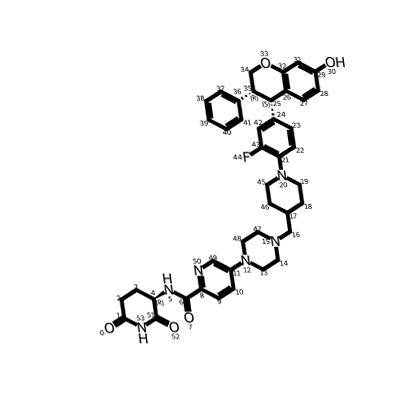 O=C1CC[C@@H](NC(=O)c2ccc(N3CCN(CC4CCN(c5ccc([C@H]6c7ccc(O)cc7OC[C@H]6c6ccccc6)cc5F)CC4)CC3)cn2)C(=O)N1